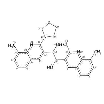 Cc1cccc2cc(C(O)C(O)c3cc4cccc(C)c4nc3N3CCCC3)c(Cl)nc12